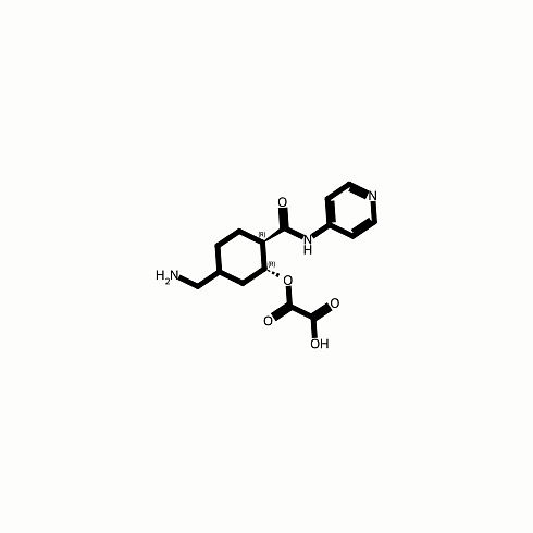 NCC1CC[C@@H](C(=O)Nc2ccncc2)[C@H](OC(=O)C(=O)O)C1